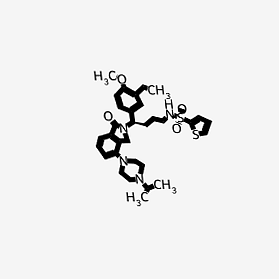 CCc1cc([C@@H](CCCNS(=O)(=O)c2cccs2)N2Cc3c(cccc3N3CCN(C(C)C)CC3)C2=O)ccc1OC